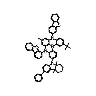 Cc1cc2c3c(c1)N(c1cccc4c1sc1ccccc14)c1cc(N4c5ccc(-c6ccccc6)cc5C5(C)CCCCC45C)ccc1B3c1cc(C(C)(C)C)ccc1N2c1ccc2c(c1)sc1ccccc12